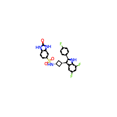 O=c1[nH]c2ccc(S(=O)(=O)N[C@H]3C[C@H](c4c(-c5ccc(F)cc5)[nH]c5c(F)cc(F)cc54)C3)cc2[nH]1